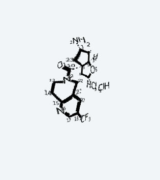 Cl.Cl.N[C@@H]1C[C@H]2OCC[C@@]2(C(=O)N2CCc3ncc(C(F)(F)F)cc3C2)C1